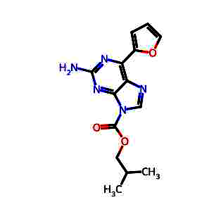 CC(C)COC(=O)n1cnc2c(-c3ccco3)nc(N)nc21